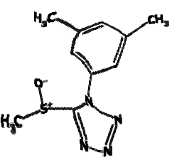 Cc1cc(C)cc(-n2nnnc2[S+](C)[O-])c1